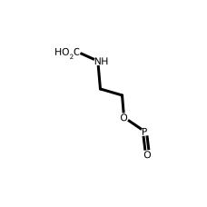 O=POCCNC(=O)O